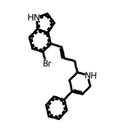 Brc1ccc2[nH]ccc2c1/C=C/CC1CC(c2ccccc2)=CCN1